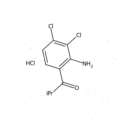 CC(C)C(=O)c1ccc(Cl)c(Cl)c1N.Cl